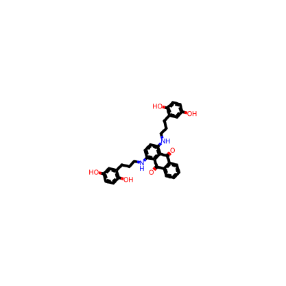 O=C1c2ccccc2C(=O)c2c(NCCCc3cc(O)ccc3O)ccc(NCCCc3cc(O)ccc3O)c21